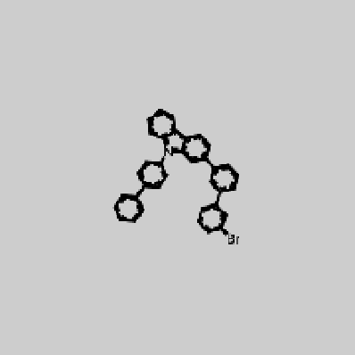 Brc1cccc(-c2cccc(-c3ccc4c5ccccc5n(-c5ccc(-c6ccccc6)cc5)c4c3)c2)c1